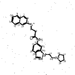 O=C(CCSc1ccc2ccccc2c1)Nc1ccc2cnn(CCN3CCCC3)c2c1